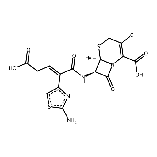 Nc1nc(/C(=C\CC(=O)O)C(=O)N[C@@H]2C(=O)N3C(C(=O)O)=C(Cl)CS[C@H]23)cs1